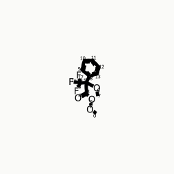 COOC(=O)C(OC)(c1ccccc1)C(F)(F)F